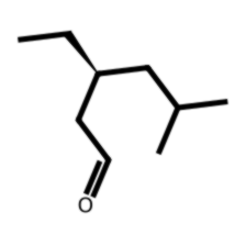 CC[C@H](CC=O)CC(C)C